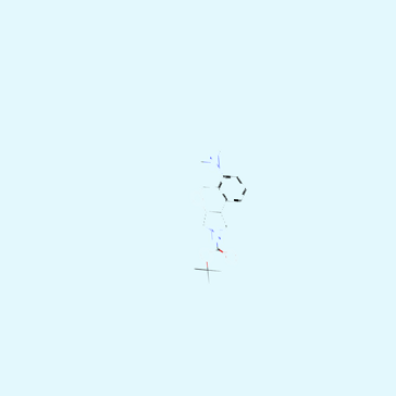 CN(C)c1cccc2c1COC1CN(C(=O)OC(C)(C)C)CC21